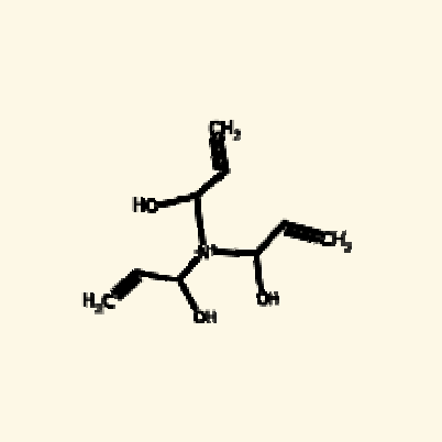 C=CC(O)[N+](C(O)C=C)C(O)C=C